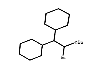 CCCCC(CC)C(C1CCCCC1)C1CCCCC1